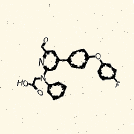 O=Cc1cc(-c2ccc(Oc3ccc(F)cc3)cc2)cc(N(CC(=O)O)c2ccccc2)n1